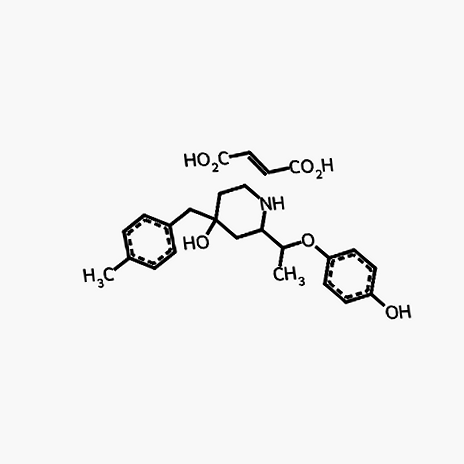 Cc1ccc(CC2(O)CCNC(C(C)Oc3ccc(O)cc3)C2)cc1.O=C(O)/C=C/C(=O)O